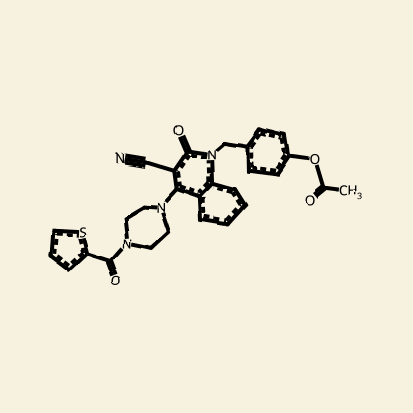 CC(=O)Oc1ccc(Cn2c(=O)c(C#N)c(N3CCN(C(=O)c4cccs4)CC3)c3ccccc32)cc1